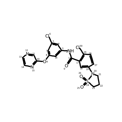 O=C(Nc1cc(Cl)cc(Oc2cnccn2)c1)c1cc(N2CCCS2(=O)=O)ccc1Cl